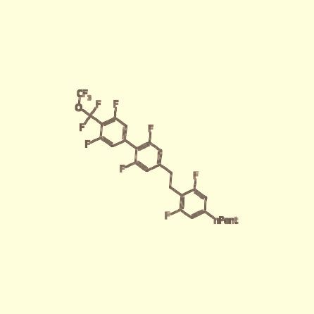 CCCCCc1cc(F)c(CCc2cc(F)c(-c3cc(F)c(C(F)(F)OC(F)(F)F)c(F)c3)c(F)c2)c(F)c1